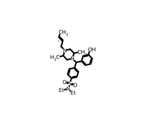 C/C=C/CN1CC(C)N(C(c2ccc(S(=O)(=O)N(CC)CC)cc2)c2cccc(O)c2)CC1C